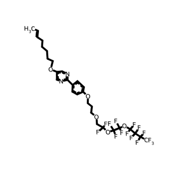 CC=CCCCCCOc1cnc(-c2ccc(OCCCOCC(F)(F)OC(F)(F)C(F)(F)OC(F)(F)C(F)(F)C(F)(F)C(F)(F)F)cc2)nc1